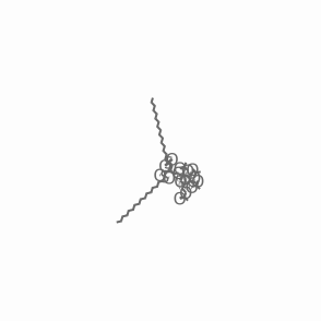 CCCCCCCCCCCCCCCCS(=O)(=O)CC(CO[C@H]1O[C@H](COC(C)=O)[C@H](OC(C)=O)[C@H](OC(C)=O)[C@H]1OC(C)=O)CS(=O)(=O)CCCCCCCCCCCCCCCC